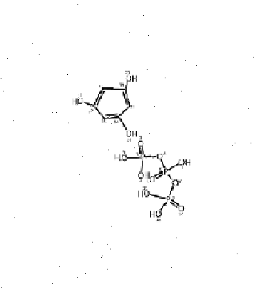 O=P(O)(O)OP(=O)(O)OP(=O)(O)O.Oc1cc(O)cc(O)c1